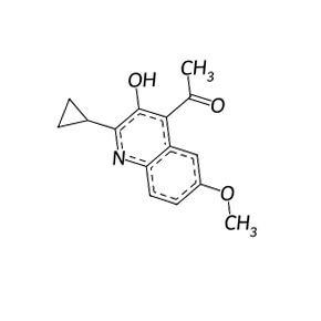 COc1ccc2nc(C3CC3)c(O)c(C(C)=O)c2c1